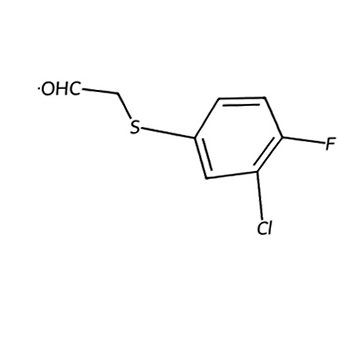 O=[C]CSc1ccc(F)c(Cl)c1